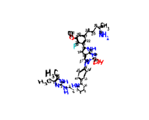 Cc1nc(NCC[C@H]2CCC[C@H](c3ccc(N4C=c5cc(-c6cc(CCC[C@H](C)N)cc(OC(F)(F)F)c6F)[nH]c5=NC4O)cc3)N2)[nH]c1C